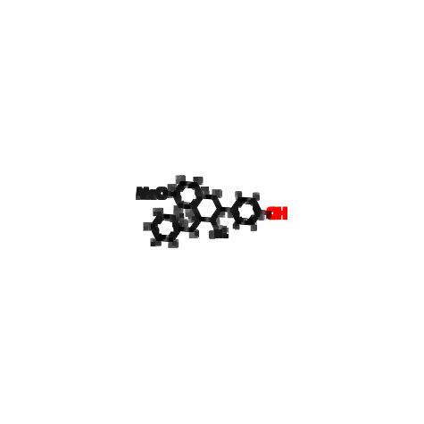 CCC1C(c2ccc(O)cc2)Cc2ccc(OC)cc2C1Cc1ccccc1